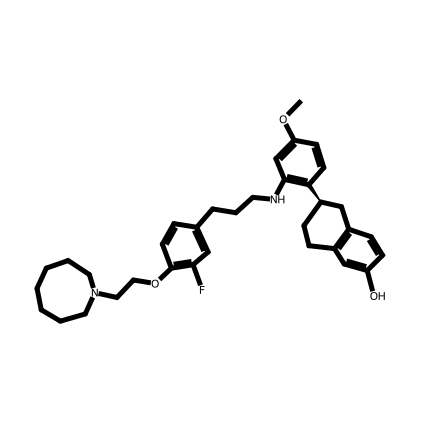 COc1ccc([C@@H]2CCc3cc(O)ccc3C2)c(NCCCc2ccc(OCCN3CCCCCCC3)c(F)c2)c1